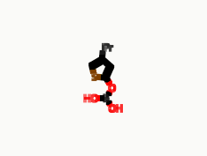 CC(C)c1csc(OB(O)O)c1